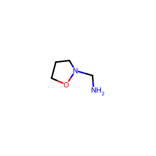 NCN1CCCO1